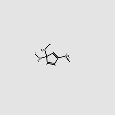 C[SiH2]C1=CC([SiH2]C)([SiH2]C)C=C1